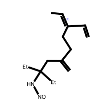 C=C/C(=C/C)CCC(=C)CC(CC)(CC)NN=O